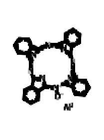 [Al+3].[O-][n+]1c2nc(nc3[nH]c(nc4nc(nc5[nH]c1c1ccccc51)-c1ccccc1-4)c1ccccc31)-c1ccccc1-2